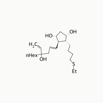 C=CC(O)(CC=C[C@@H]1[C@@H](CCCCSCC)[C@@H](O)C[C@H]1O)CCCCCC